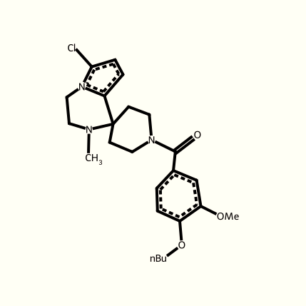 CCCCOc1ccc(C(=O)N2CCC3(CC2)c2ccc(Cl)n2CCN3C)cc1OC